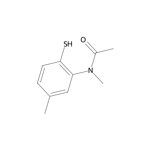 CC(=O)N(C)c1cc(C)ccc1S